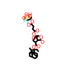 CCC(CC)(OC(=O)C1C2OC3C(OC(=O)C31)C2OC(=O)CCC(=O)OC(C)C(F)(F)S(=O)(=O)O)C12CC3CC(CC(C3)C1)C2